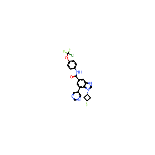 O=C(Nc1ccc(OC(F)(F)Cl)cc1)c1cc(-c2cncnc2)c2c(c1)ncn2[C@H]1C[C@H](F)C1